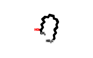 CC(O)CCC/C=C\C/C=C\C/C=C\CC=CCCCC(=O)O